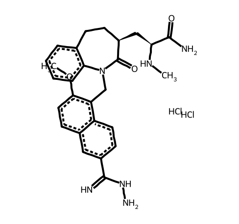 CN[C@@H](C[C@@H]1CCc2ccccc2N(Cc2c(OC)ccc3cc(C(=N)NN)ccc23)C1=O)C(N)=O.Cl.Cl